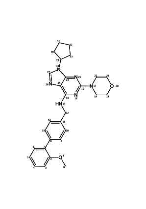 COc1ccccc1-c1ccc(CNc2nc(N3CCOCC3)nc3c2ncn3C2CCCC2)cc1